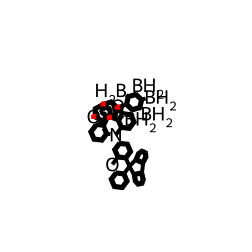 Bc1c(B)c(B)c(-c2ccc3oc4cccc(N(c5ccc6c(c5)Oc5ccccc5C65c6ccccc6-c6ccccc65)c5cccc6oc7ccccc7c56)c4c3c2)c(B)c1B